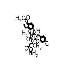 CC(=O)N1CCc2cc(NC3N(N)C(=O)N([C@@H](C)CC(=O)ON)C(=O)N3Cc3ccc(Cl)cc3)ccc21